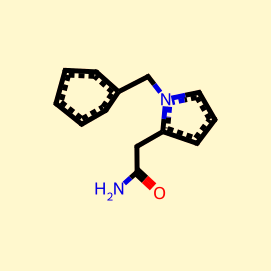 NC(=O)Cc1cccn1Cc1ccccc1